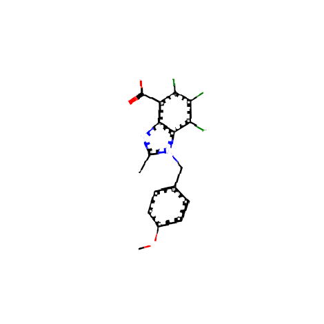 COc1ccc(Cn2c(C)nc3c(C(=O)O)c(F)c(F)c(F)c32)cc1